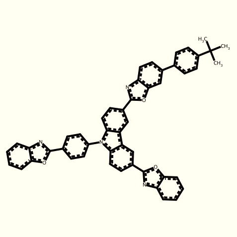 CC(C)(C)c1ccc(-c2ccc3nc(-c4ccc5c(c4)c4cc(-c6nc7ccccc7o6)ccc4n5-c4ccc(-c5nc6ccccc6o5)cc4)oc3c2)cc1